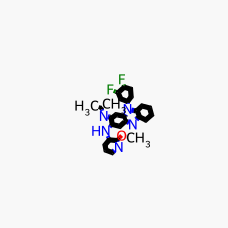 COc1ncccc1Nc1cc2nc3ccccc3n(-c3ccc(F)c(F)c3)c-2c/c1=N\C(C)C